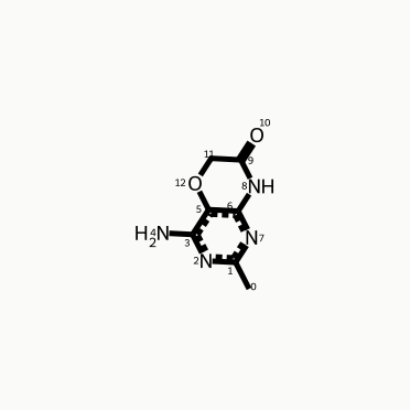 Cc1nc(N)c2c(n1)NC(=O)CO2